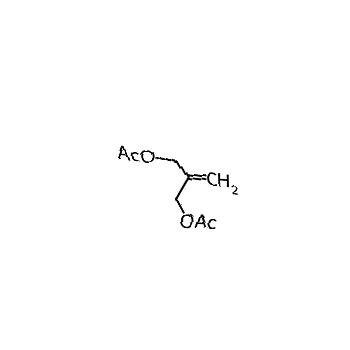 C=C(COC(C)=O)COC(C)=O